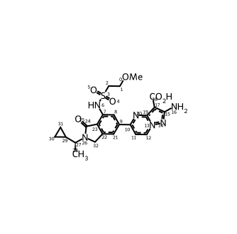 COCCS(=O)(=O)Nc1cc(-c2ccn3nc(N)c(C(=O)O)c3n2)cc2c1C(=O)N([C@@H](C)C1CC1)C2